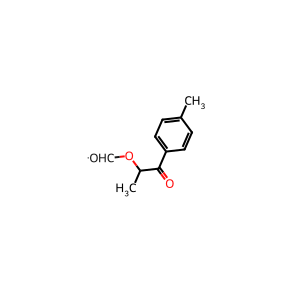 Cc1ccc(C(=O)C(C)O[C]=O)cc1